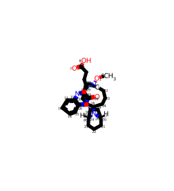 CO/N=C(\CCC(=O)O)c1nc2ccccc2n([C@@H]2C[C@@H]3CCC[C@H]2N3C2CCCCCCCC2)c1=O